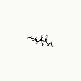 CCOC=CC(=O)NC(=O)OCC